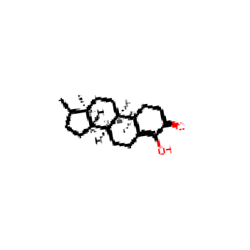 CC1CC[C@H]2[C@@H]3CCC4=C(O)C(=O)CC[C@]4(C)[C@@H]3CC[C@]12C